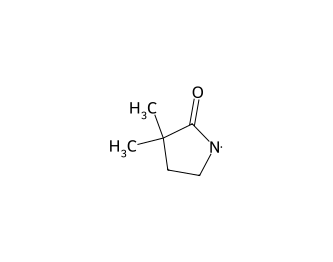 CC1(C)CC[N]C1=O